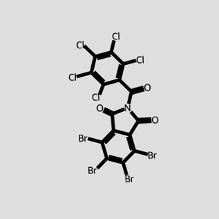 O=C(c1c(Cl)c(Cl)c(Cl)c(Cl)c1Cl)N1C(=O)c2c(Br)c(Br)c(Br)c(Br)c2C1=O